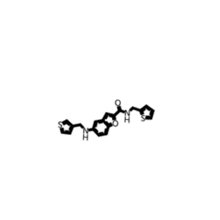 O=C(NCc1cccs1)c1cc2cc(NCc3ccsc3)ccc2o1